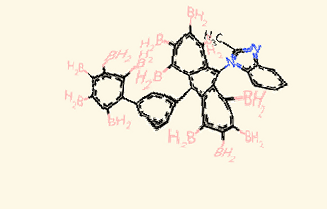 Bc1c(B)c(B)c(-c2cccc(-c3c4c(B)c(B)c(B)c(B)c4c(-n4c(C)nc5ccccc54)c4c(B)c(B)c(B)c(B)c34)c2)c(B)c1B